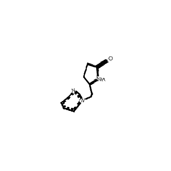 O=C1CCC(Cn2c[c]cn2)N1